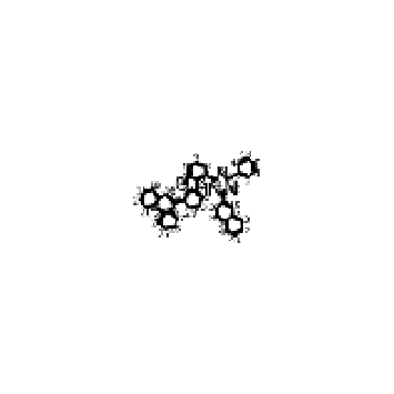 c1ccc(C2=NC(c3cccc4oc5c(-c6cc7ccccc7c7ccccc67)cccc5c34)NC(c3ccc4ccccc4c3)=N2)cc1